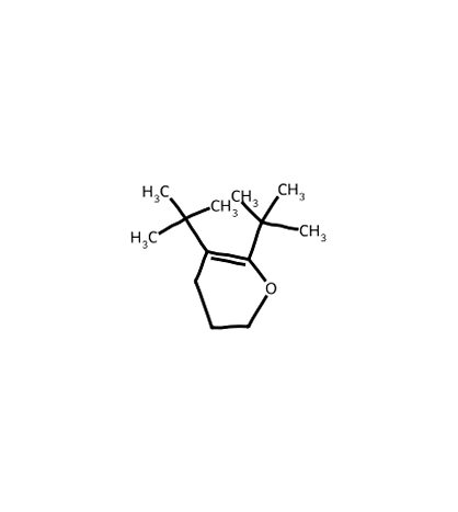 CC(C)(C)C1=C(C(C)(C)C)OCCC1